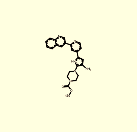 CC(C)(C)OC(=O)N1CCN(c2[nH]c(-c3ccnc(-c4cnc5ccccc5c4)c3)cc2N)CC1